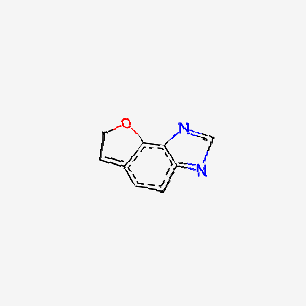 C1=Nc2c3c(ccc2=N1)=CCO3